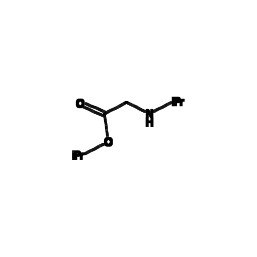 CC(C)NCC(=O)OC(C)C